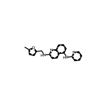 Cc1ccc(CNc2ccc3c(Nc4ccccn4)cccc3n2)o1